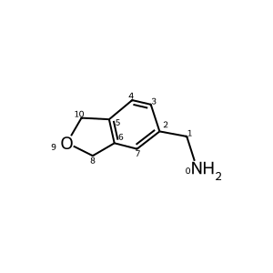 NCc1ccc2c(c1)COC2